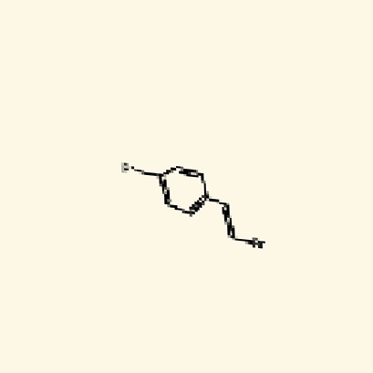 CC(C)c1ccc(C=CBr)cc1